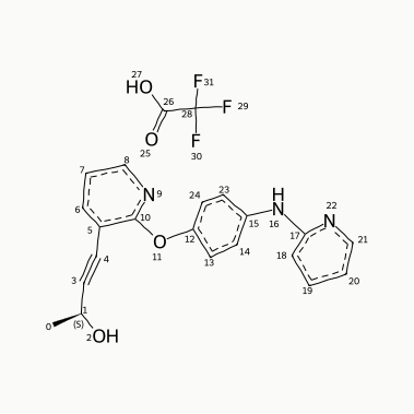 C[C@H](O)C#Cc1cccnc1Oc1ccc(Nc2ccccn2)cc1.O=C(O)C(F)(F)F